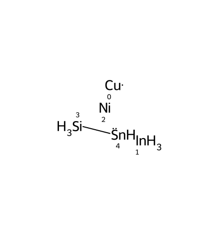 [Cu].[InH3].[Ni].[SiH3][SnH]